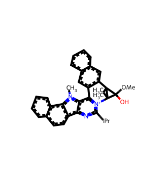 COC1(O)C2(C)c3cc4ccccc4cc3-c3c4c(nc(C(C)C)[n+]3C12C)c1ccc2ccccc2c1n4C